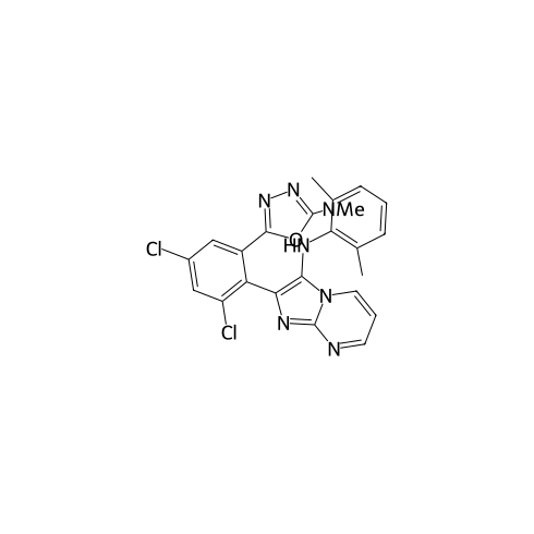 CNc1nnc(-c2cc(Cl)cc(Cl)c2-c2nc3ncccn3c2Nc2c(C)cccc2C)o1